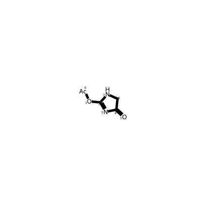 CC(=O)OC1=NC(=O)CN1